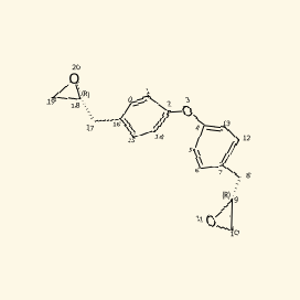 c1cc(Oc2ccc(C[C@@H]3CO3)cc2)ccc1C[C@@H]1CO1